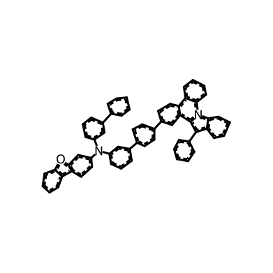 c1ccc(-c2cccc(N(c3cccc(-c4ccc(-c5ccc6c7ccccc7n7c8ccccc8c(-c8ccccc8)c7c6c5)cc4)c3)c3ccc4c(c3)oc3ccccc34)c2)cc1